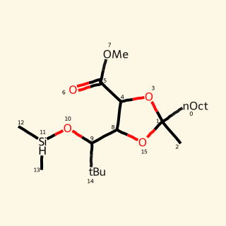 CCCCCCCCC1(C)OC(C(=O)OC)C(C(O[SiH](C)C)C(C)(C)C)O1